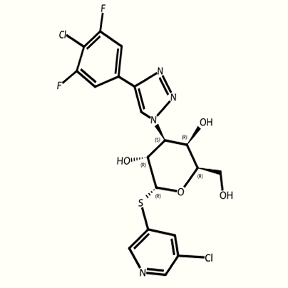 OC[C@H]1O[C@H](Sc2cncc(Cl)c2)[C@H](O)[C@@H](n2cc(-c3cc(F)c(Cl)c(F)c3)nn2)[C@H]1O